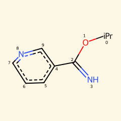 CC(C)OC(=N)c1cccnc1